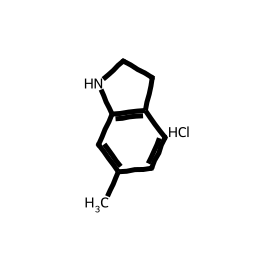 Cc1ccc2c(c1)NCC2.Cl